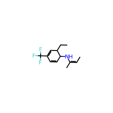 C/C=C(/C)NC1C=CC(C(F)(F)F)=CC1CC